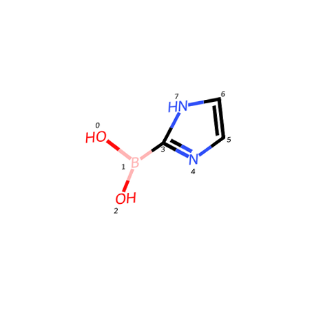 OB(O)c1ncc[nH]1